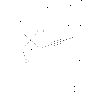 CCOC(C)(O)CC#CI